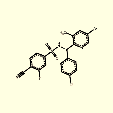 Cc1cc(Br)cnc1[C@@H](NS(=O)(=O)c1ccc(C#N)c(F)c1)c1ccc(Cl)cc1